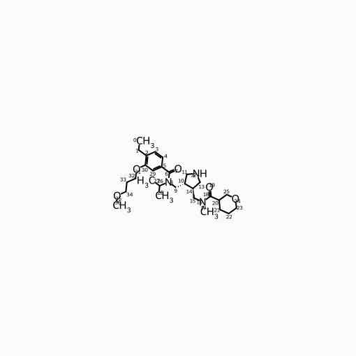 CCc1ccc(C(=O)N(C[C@@H]2CNC[C@H]2CN(C)C(=O)C2CCCOC2)C(C)C)cc1OCCCOC